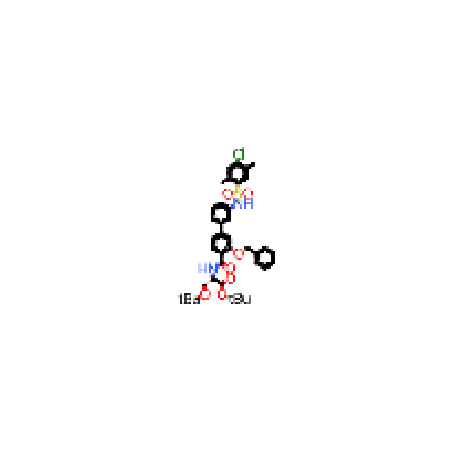 Cc1cc(S(=O)(=O)Nc2cccc(-c3ccc(C(=O)N[C@@H](COC(C)(C)C)C(=O)OC(C)(C)C)c(OCc4ccccc4)c3)c2)c(C)cc1Cl